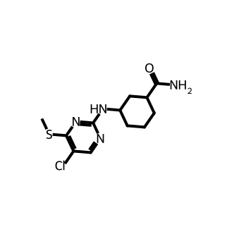 CSc1nc(NC2CCCC(C(N)=O)C2)ncc1Cl